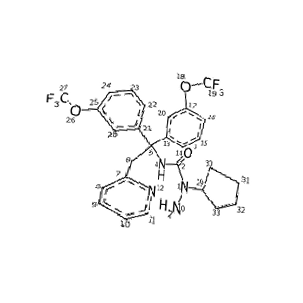 NN(C(=O)NC(Cc1ccccn1)(c1cccc(OC(F)(F)F)c1)c1cccc(OC(F)(F)F)c1)C1CCCC1